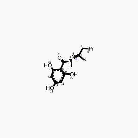 C/C(CC(C)C)=N\NC(=O)c1c(O)cc(O)cc1O